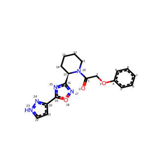 O=C(COc1ccccc1)N1CCCC[C@@H]1c1noc(-c2cc[nH]n2)n1